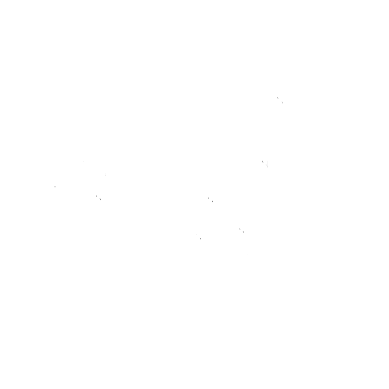 CC(N(Cc1ccc2c(c1)nc(NC(=O)c1ccc(Cl)cc1)n2CC1CCCN1C(=O)CC#N)C(=O)C(F)(F)F)C(C)(C)C